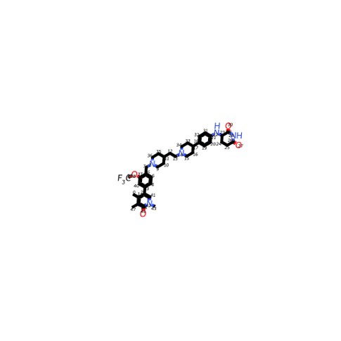 Cc1c(-c2ccc(CN3CCC(CCN4CCC(c5ccc(NC6CCC(=O)NC6=O)cc5)CC4)CC3)c(OC(F)(F)F)c2)cn(C)c(=O)c1C